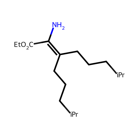 CCOC(=O)C(N)=C(CCCC(C)C)CCCC(C)C